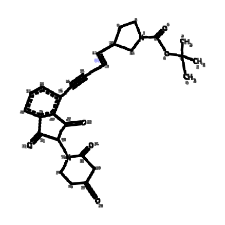 CC(C)(C)OC(=O)N1CCC(/C=C/C#Cc2cccc3c2C(=O)C(N2CCC(=O)CC2=O)C3=O)C1